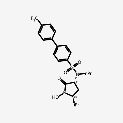 CCCN([C@@H]1C[C@@H](C(C)C)N(O)C1=O)S(=O)(=O)c1ccc(-c2ccc(C(F)(F)F)cc2)cc1